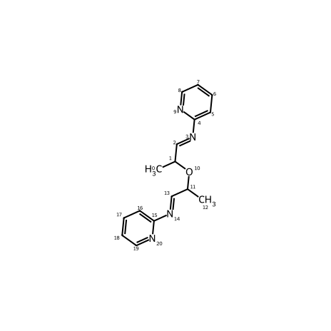 CC(C=Nc1ccccn1)OC(C)C=Nc1ccccn1